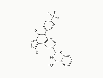 C[C@H](NC(=O)c1ccc2c(c1)c1c(Cl)scc1c(=O)n2-c1ccc(C(F)(F)F)cc1)c1ccccn1